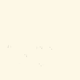 CCCC(c1ccccc1)N(CCC)C(=N)NNc1ccc(Cl)cc1Cl